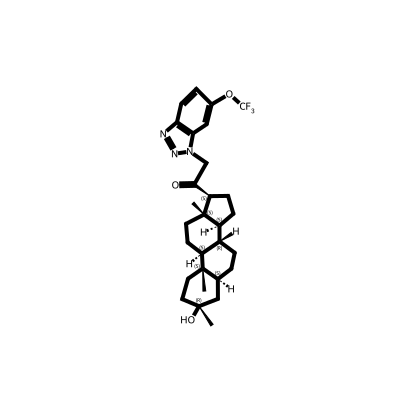 C[C@@]1(O)CC[C@@]2(C)[C@@H](CC[C@@H]3[C@@H]2CC[C@]2(C)[C@@H](C(=O)Cn4nnc5ccc(OC(F)(F)F)cc54)CC[C@@H]32)C1